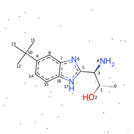 C[C@H](O)[C@H](N)c1nc2cc(C(C)(C)C)ccc2[nH]1